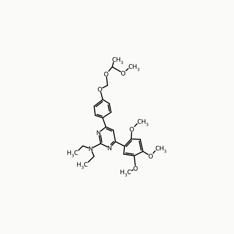 CCN(CC)c1nc(-c2ccc(OCOC(C)OC)cc2)cc(-c2cc(OC)c(OC)cc2OC)n1